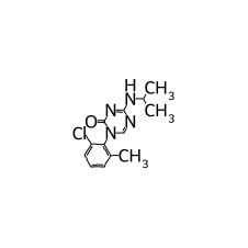 Cc1cccc(Cl)c1-n1cnc(NC(C)C)nc1=O